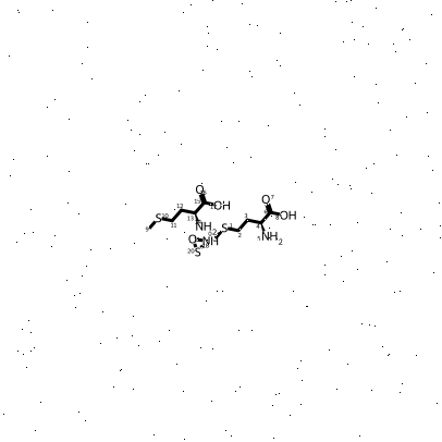 CSCC[C@H](N)C(=O)O.CSCC[C@H](N)C(=O)O.[nH]1os1